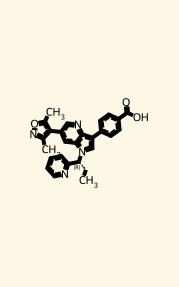 CC[C@H](c1ccccn1)n1cc(-c2ccc(C(=O)O)cc2)c2ncc(-c3c(C)noc3C)cc21